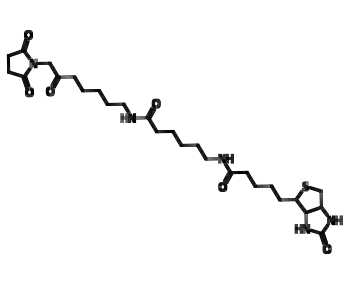 O=C(CCCCCNC(=O)CCCCCNC(=O)CCCCC1SCC2NC(=O)NC21)CN1C(=O)CCC1=O